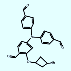 O=Cc1ccc(N(c2ccc(C=O)cc2)c2ccc(C=O)c(OC3CC(Br)C3)c2)cc1